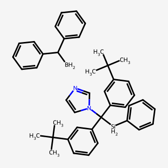 BC(c1ccccc1)c1ccccc1.CC(C)(C)c1cccc(C([SiH2]c2ccccc2)(c2cccc(C(C)(C)C)c2)n2ccnc2)c1